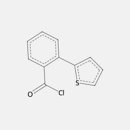 O=C(Cl)c1ccccc1-c1cccs1